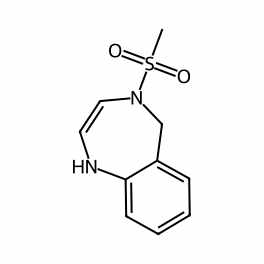 CS(=O)(=O)N1C=CNc2ccccc2C1